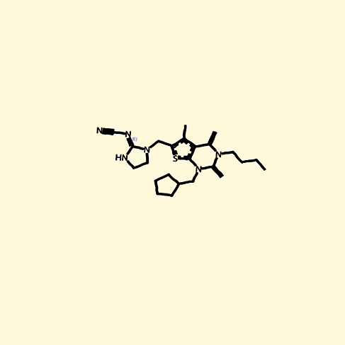 C=C1c2c(sc(CN3CCN/C3=N\C#N)c2C)N(CC2CCCC2)C(=C)N1CCCC